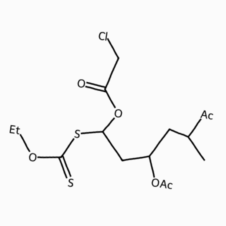 CCOC(=S)SC(CC(CC(C)C(C)=O)OC(C)=O)OC(=O)CCl